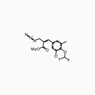 COC(=O)/C(=C\c1cc(C)c(OC(F)F)c(Cl)c1)CN=[N+]=[N-]